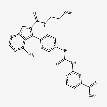 COCCNC(=O)c1cn2ncnc(N)c2c1-c1ccc(NC(=O)Nc2cccc(C(=O)OC)c2)cc1